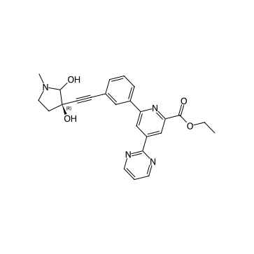 CCOC(=O)c1cc(-c2ncccn2)cc(-c2cccc(C#C[C@]3(O)CCN(C)C3O)c2)n1